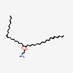 CCCCCCCC/C=C\CCCCCCCC1OC(CCN(C)C)OC1CCCCCCCCCCCCCCCCC